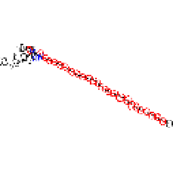 CCCCCCCCCCCN(C(=O)CCCCCCCCCC(=O)O)[C@@H](CCC(=O)NCCOCCOCCOCCOCCOCCOCCOCCOCCOCCOCCOCCOCCOCCOCCOCCOCCOCCOCCOCCOCCOCCOCCOCCOCCC(=O)O)C(=O)O